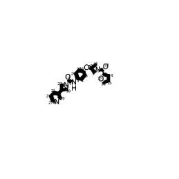 O=C(Nc1ccc(OC2CN(C(=O)[C@H]3CCCO3)C2)cc1)N1CC(c2cccnc2)C1